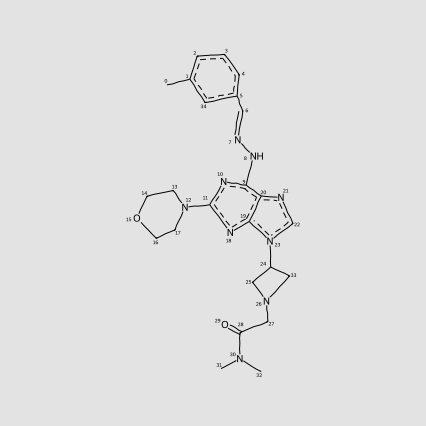 Cc1cccc(C=NNc2nc(N3CCOCC3)nc3c2ncn3C2CN(CC(=O)N(C)C)C2)c1